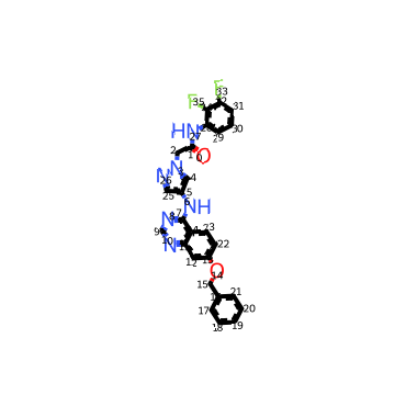 O=C(Cn1cc(Nc2ncnc3cc(OCc4ccccc4)ccc23)cn1)Nc1cccc(F)c1F